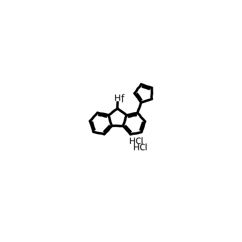 Cl.Cl.[Hf][CH]1c2ccccc2-c2cccc(C3=CC=CC3)c21